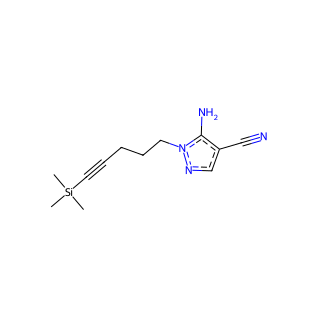 C[Si](C)(C)C#CCCCn1ncc(C#N)c1N